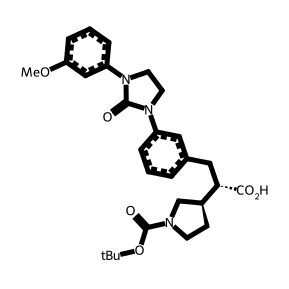 COc1cccc(N2CCN(c3cccc(C[C@H](C(=O)O)[C@H]4CCN(C(=O)OC(C)(C)C)C4)c3)C2=O)c1